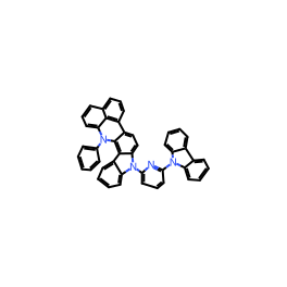 c1ccc(N2c3cccc4cccc(c34)-c3ccc4c(c32)c2ccccc2n4-c2cccc(-n3c4ccccc4c4ccccc43)n2)cc1